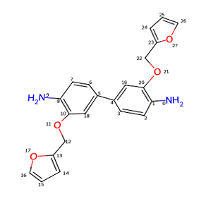 Nc1ccc(-c2ccc(N)c(OCc3ccco3)c2)cc1OCc1ccco1